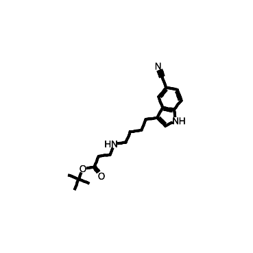 CC(C)(C)OC(=O)CCNCCCCc1c[nH]c2ccc(C#N)cc12